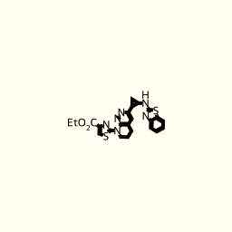 CCOC(=O)c1csc(N2CCCc3cc(C4CC4Nc4nc5ccccc5s4)nnc32)n1